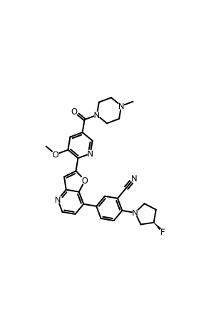 COc1cc(C(=O)N2CCN(C)CC2)cnc1-c1cc2nccc(-c3ccc(N4CC[C@@H](F)C4)c(C#N)c3)c2o1